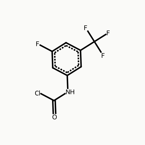 O=C(Cl)Nc1cc(F)cc(C(F)(F)F)c1